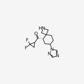 O=C(C1CC1(F)F)[C@H]1CC(n2cncn2)CCC12CNC2